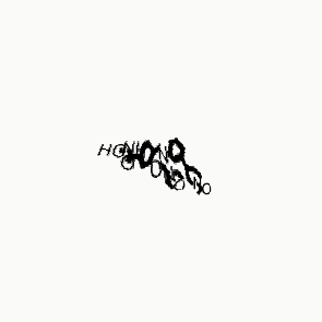 CC(=O)N1CCC(c2cccc(N(Cc3ccc(C(=O)NO)cc3)C(=O)N3CCOCC3)c2)CC1